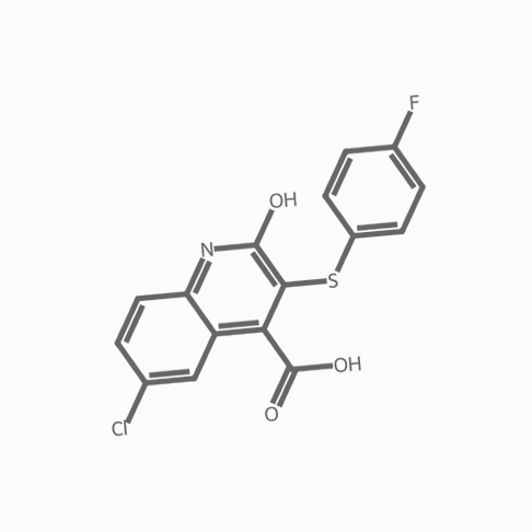 O=C(O)c1c(Sc2ccc(F)cc2)c(O)nc2ccc(Cl)cc12